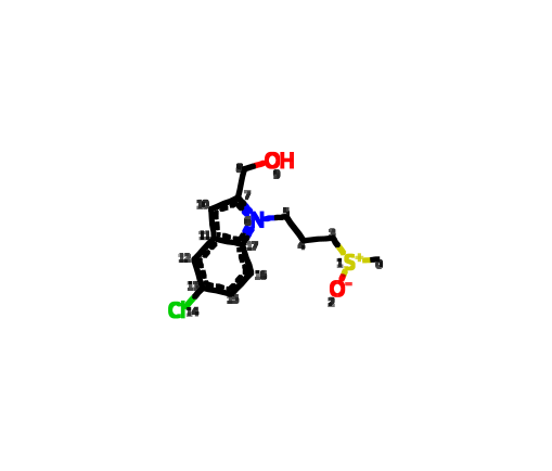 C[S+]([O-])CCCn1c(CO)cc2cc(Cl)ccc21